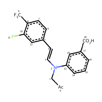 CC(=O)CN(C=Cc1ccc(C(F)(F)F)c(F)c1)c1cccc(C(=O)O)c1